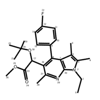 CCn1c(C)c(C)c2c(-c3ccc(F)cc3)c(C(OC(C)(C)C)C(=O)OC)c(C)nc21